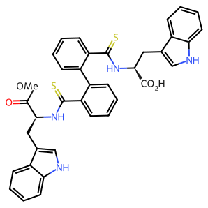 COC(=O)[C@H](Cc1c[nH]c2ccccc12)NC(=S)c1ccccc1-c1ccccc1C(=S)N[C@@H](Cc1c[nH]c2ccccc12)C(=O)O